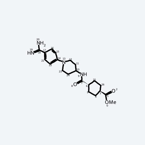 COC(=O)[C@H]1CC[C@H](C(=O)NC2CCN(c3ccc(C(=N)N)cc3)CC2)CC1